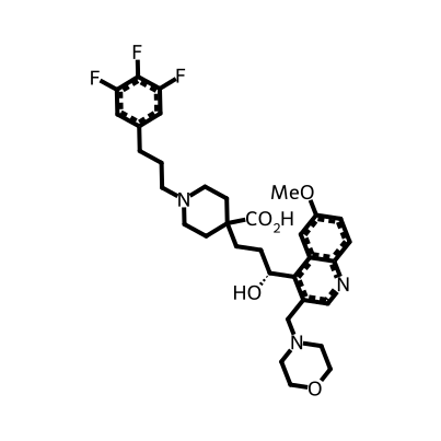 COc1ccc2ncc(CN3CCOCC3)c([C@H](O)CCC3(C(=O)O)CCN(CCCc4cc(F)c(F)c(F)c4)CC3)c2c1